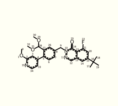 COc1cc(-c2ccc(Cn3ncc4cc(C(C)(C)C)cc(F)c4c3=O)cc2C(OC)OC)ccn1